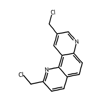 ClCc1cnc2ccc3ccc(CCl)nc3c2c1